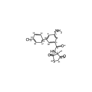 CC1(NC(=O)c2cc(N)cc(-c3ccc(Cl)cc3)c2)C(=O)CSC1=O